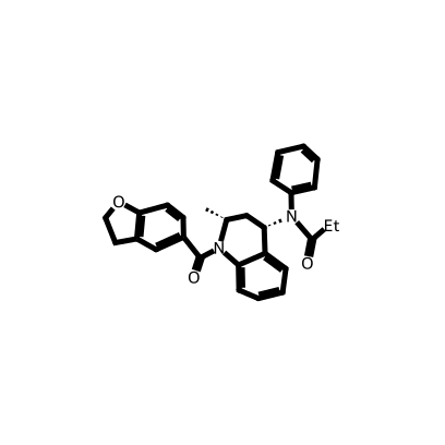 CCC(=O)N(c1ccccc1)[C@H]1C[C@@H](C)N(C(=O)c2ccc3c(c2)CCO3)c2ccccc21